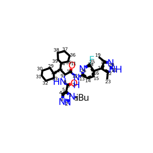 CCC(C)n1nncc1C(=O)N[C@H](C(=O)Nc1ccc(-c2c(C)n[nH]c2C)c(F)n1)C(C1CCCCC1)C1CCCCC1